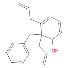 C=CCC1=CC=CC(O)C1(CC=C)Cc1ccccc1